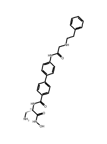 NC[C@H](NC(=O)c1ccc(-c2ccc(NC(=O)CNCCc3ccccc3)cc2)cc1)C(=O)NO